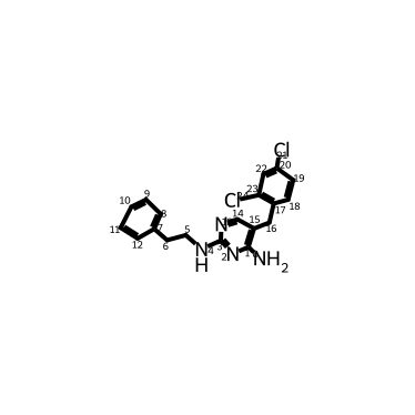 Nc1nc(NCCc2ccccc2)ncc1Cc1ccc(Cl)cc1Cl